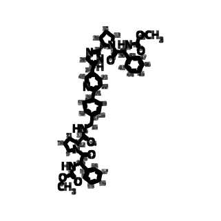 COC(=O)N[C@@H](C(=O)N1CCC[C@H]1C(=O)NCc1ccc(-c2ccc(-c3cnc([C@@H]4CCCN4C(=O)[C@H](NC(=O)OC)c4ccccc4)[nH]3)cn2)cc1)c1ccccc1